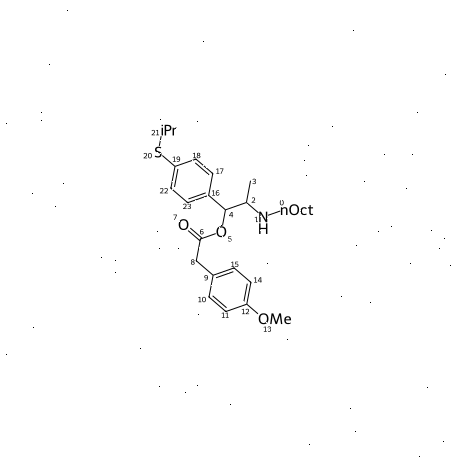 CCCCCCCCNC(C)C(OC(=O)Cc1ccc(OC)cc1)c1ccc(SC(C)C)cc1